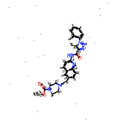 Cc1ccccc1-n1nnc(C(=O)Nc2ccc3cc(CN4CCN(C(=O)OC(C)(C)C)CC4)ccc3n2)c1C